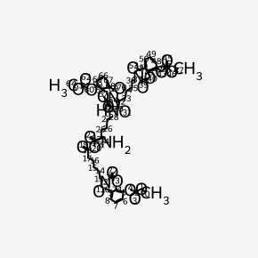 COC(=O)Oc1cccc2c(=O)n(CCCCCC(=O)OC(=O)[C@@H](N)CCCCNC(=O)C(CCCCn3c(=O)oc4c(OC(=O)OC)cccc4c3=O)n3c(=O)oc4c(OC(=O)OC)cccc4c3=O)c(=O)oc12